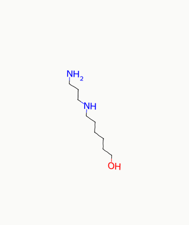 NCCCNCCCCCCO